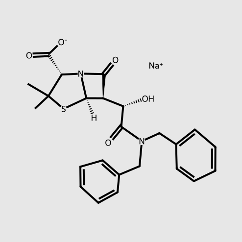 CC1(C)S[C@@H]2[C@H]([C@H](O)C(=O)N(Cc3ccccc3)Cc3ccccc3)C(=O)N2[C@H]1C(=O)[O-].[Na+]